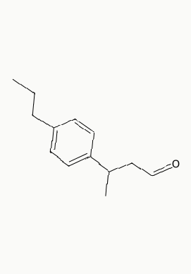 CCCc1ccc(C(C)CC=O)cc1